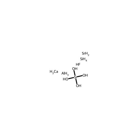 F.O[Si](O)(O)O.[AlH3].[CaH2].[SiH4].[SrH2]